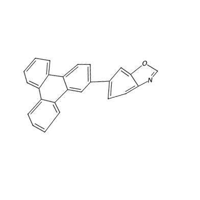 c1ccc2c(c1)c1ccccc1c1cc(-c3ccc4ncoc4c3)ccc21